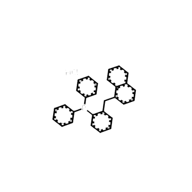 Cl.c1ccc(P(c2ccccc2)c2ccccc2Cc2cccc3ccccc23)cc1